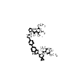 COC(=O)NC(C(=O)N1CC2(CC2)C[C@H]1c1nc2cc(-c3ccc(-c4cnc([C@@H]5C=CCN5C(=O)[C@@H](NC(=O)OC)C(C)C)[nH]4)cc3)ccc2[nH]1)C(C)C